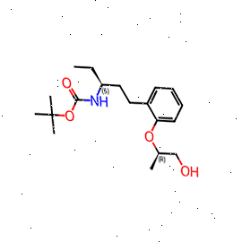 CC[C@@H](CCc1ccccc1O[C@H](C)CO)NC(=O)OC(C)(C)C